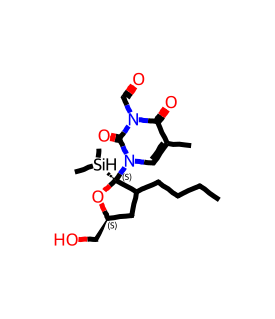 CCCCC1C[C@@H](CO)O[C@]1(n1cc(C)c(=O)n(C=O)c1=O)[SiH](C)C